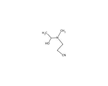 CC(O)N(C)CCC#N